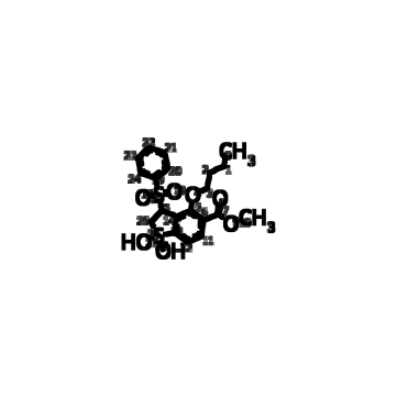 CCCCOc1c(C(=O)OC)ccc2c1C(S(=O)(=O)c1ccccc1)CS2(O)O